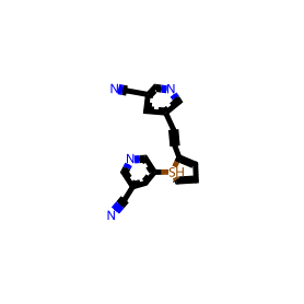 N#Cc1cncc(C#CC2=CC=[C][SH]2c2cncc(C#N)c2)c1